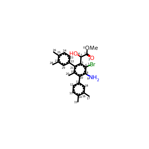 COC(=O)C(O)c1c(Br)c(N)c(-c2ccc(C)c(C)c2)c(C)c1-c1ccc(C)c(C)c1